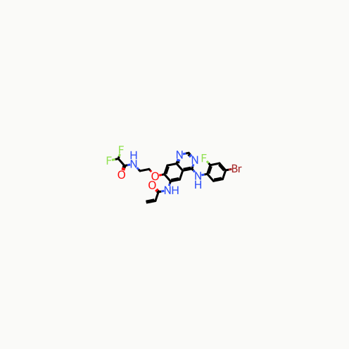 C=CC(=O)Nc1cc2c(Nc3ccc(Br)cc3F)ncnc2cc1OCCNC(=O)C(F)F